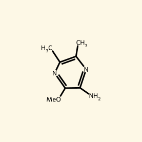 COc1nc(C)c(C)nc1N